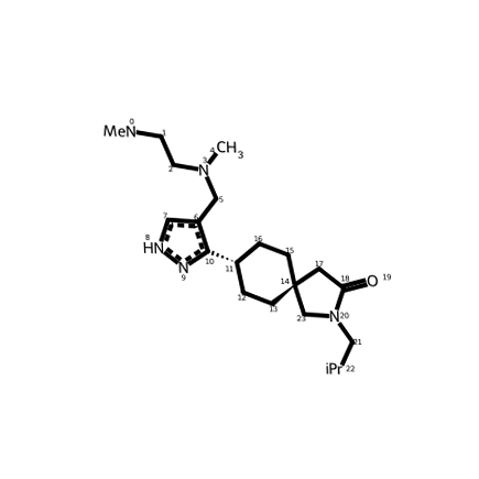 CNCCN(C)Cc1c[nH]nc1[C@H]1CC[C@@]2(CC1)CC(=O)N(CC(C)C)C2